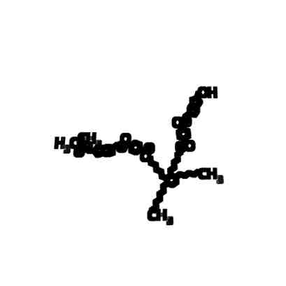 C=C(C)C(=O)OCC1CC2C3CC(COC(=O)C4CCC(C(=O)OCCCCCCC5C(CCCCCCCC)CCC(CCCCCC)C5CCCCCCOC(=O)C5CCC(C(=O)OCC6CC7CC6C6CC(CO)CC76)CC5)CC4)C(C3)C2C1